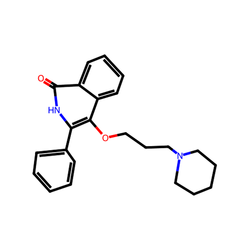 O=c1[nH]c(-c2ccccc2)c(OCCCN2CCCCC2)c2ccccc12